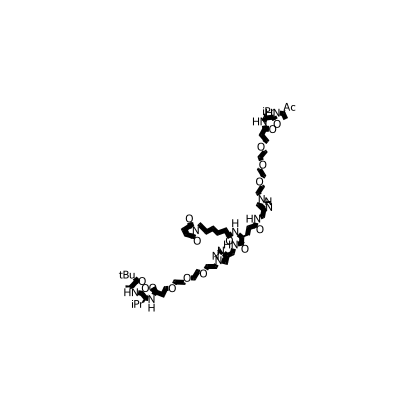 CC(=O)[C@H](C)NC(=O)[C@@H](NC(=O)CCOCCOCCOCCn1cc(CNC(=O)CC[C@H](NC(=O)CCCCCN2C(=O)C=CC2=O)C(=O)NCc2cn(CCOCCOCCOCCC(=O)N[C@H](C(=O)N[C@@H](C)C(=O)C(C)(C)C)C(C)C)nn2)nn1)C(C)C